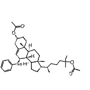 CC(=O)O[C@H]1CC[C@@]2(C)C(=C[C@H]([Se]c3ccccc3)[C@H]3[C@@H]4CC[C@H]([C@H](C)CCCC(C)(C)OC(C)=O)[C@@]4(C)CC[C@@H]32)C1